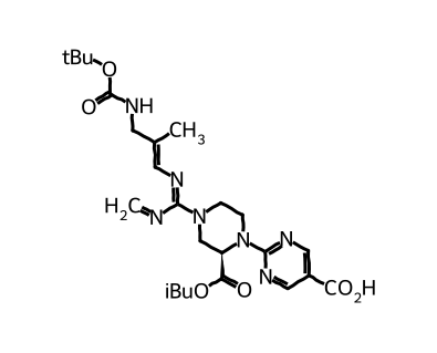 C=N/C(=N\C=C(/C)CNC(=O)OC(C)(C)C)N1CCN(c2ncc(C(=O)O)cn2)[C@@H](C(=O)OCC(C)C)C1